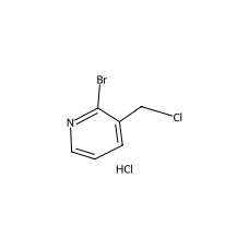 Cl.ClCc1cccnc1Br